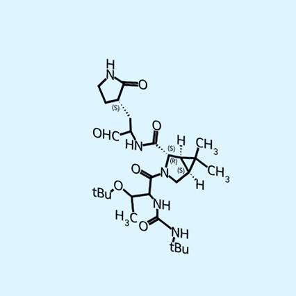 CC(OC(C)(C)C)C(NC(=O)NC(C)(C)C)C(=O)N1C[C@H]2[C@@H]([C@H]1C(=O)NC(C=O)C[C@@H]1CCNC1=O)C2(C)C